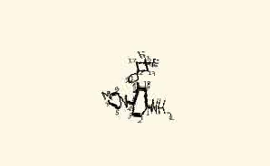 Nc1ccc(-n2ccnc2)c(OC2CC(F)(F)C2)c1